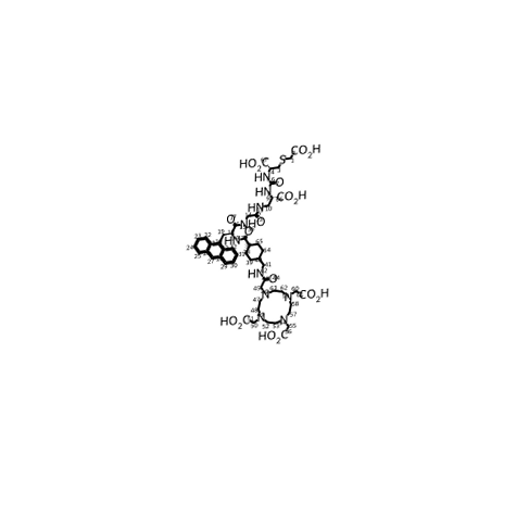 O=C(O)CSC[C@H](NC(=O)N[C@@H](CNC(=O)CNC(=O)[C@H](Cc1c2ccccc2cc2ccccc12)NC(=O)C1CCC(CNC(=O)CN2CCN(CC(=O)O)CCN(CC(=O)O)CCN(CC(=O)O)CC2)CC1)C(=O)O)C(=O)O